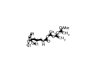 CCO[Si](CCCNC(=O)OC(C)OC(C)OC(C)OC)(OCC)OCC